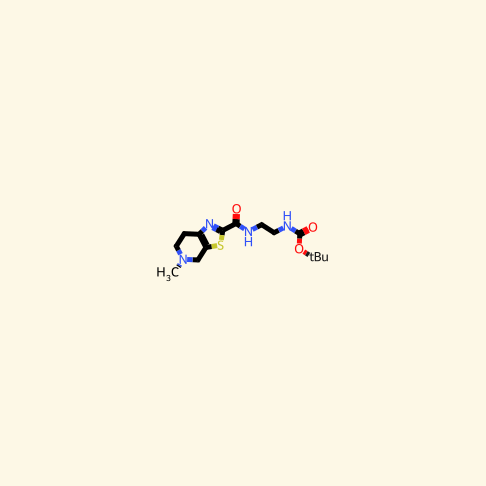 CN1CCc2nc(C(=O)NCCNC(=O)OC(C)(C)C)sc2C1